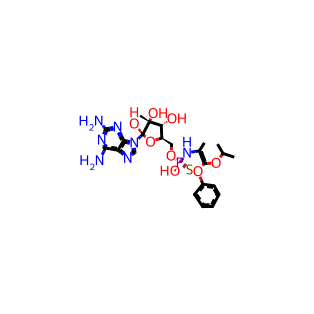 CC(N[P@@](O)(=S)OC[C@H]1O[C@](O)(n2cnc3c(N)nc(N)nc32)[C@](C)(O)[C@@H]1O)=C(Oc1ccccc1)OC(C)C